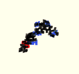 Cn1cc(-c2cc(-c3ccc(N4C5CC6CC4CC(NC(=O)OC(C)(C)C)(C6)C5)nc3)c3c(C#N)cnn3c2)cn1